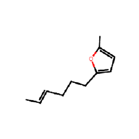 CC=CCCCc1ccc(C)o1